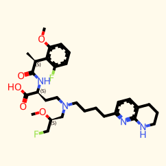 COc1cccc(F)c1[C@H](C)C(=O)N[C@@H](CCN(CCCCc1ccc2c(n1)NCCC2)C[C@@H](CF)OC)C(=O)O